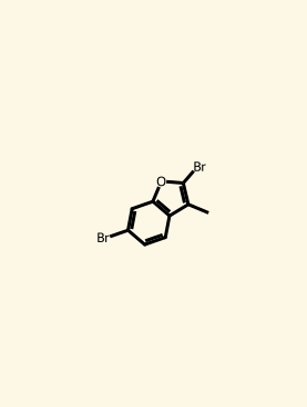 Cc1c(Br)oc2cc(Br)ccc12